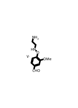 COc1cc(C=O)ccc1ONCCN.[V]